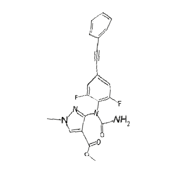 COC(=O)c1cn(C)nc1N(C(N)=O)c1c(F)cc(C#Cc2ccccc2)cc1F